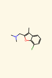 Cc1c(CN(C)C)oc2c(F)cccc12